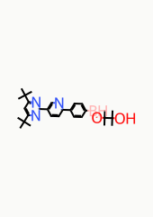 CC(C)(C)c1cc(C(C)(C)C)nc(-c2ccc(-c3ccc(BOC(C)(C)C(C)(C)O)cc3)nc2)n1